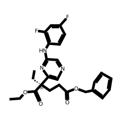 CCOC(=O)[C@](CC)(CCC(=O)OCc1ccccc1)c1cncc(Nc2ccc(F)cc2F)n1